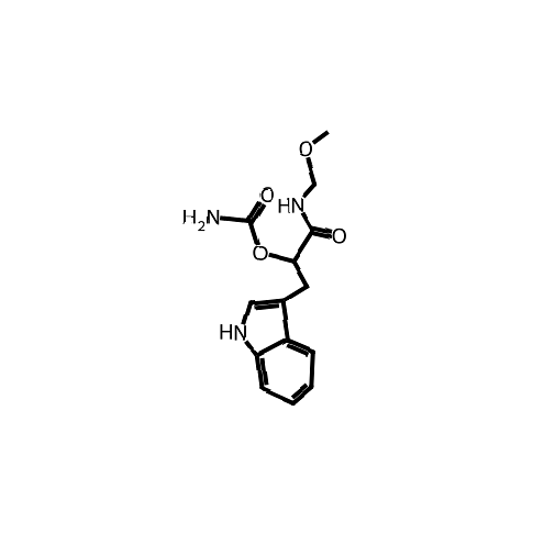 COCNC(=O)C(Cc1c[nH]c2ccccc12)OC(N)=O